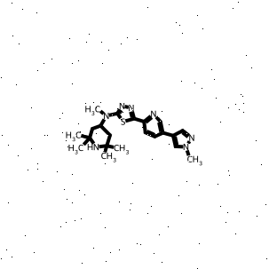 CN(c1nnc(-c2ccc(-c3cnn(C)c3)cn2)s1)C1CC(C)(C)NC(C)(C)C1